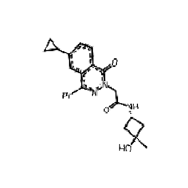 CC(C)c1nn(CC(=O)N[C@H]2C[C@@](C)(O)C2)c(=O)c2ccc(C3CC3)cc12